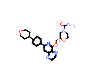 NC(=O)N1CCO[C@H](COc2nc(-c3ccc(C4CCOCC4)cc3)cc3nccnc23)C1